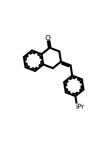 CC(C)c1ccc(C=C2CC(=O)c3ccccc3C2)cc1